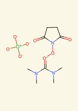 CN(C)C(=[O+]ON1C(=O)CCC1=O)N(C)C.[O-][Cl+3]([O-])([O-])[O-]